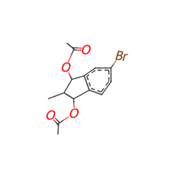 CC(=O)OC1c2ccc(Br)cc2C(OC(C)=O)C1C